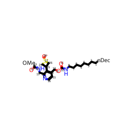 CCCCCCCCCCCCCCCCCCNC(=O)OCc1ccnc(CNC(=O)OC)c1C1C[S+]([O-])C1